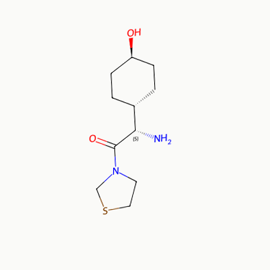 N[C@H](C(=O)N1CCSC1)[C@H]1CC[C@H](O)CC1